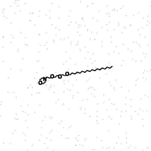 CCCCCCCCCCCCCCCCCCOCCOCCOCCN1CCOCC1